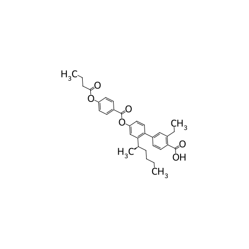 CCCC[C@@H](C)c1cc(OC(=O)c2ccc(OC(=O)CCC)cc2)ccc1-c1ccc(C(=O)O)c(CC)c1